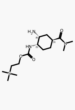 CN(C)C(=O)[C@H]1CC[C@H](NC(=O)OCC[Si](C)(C)C)[C@H](N)C1